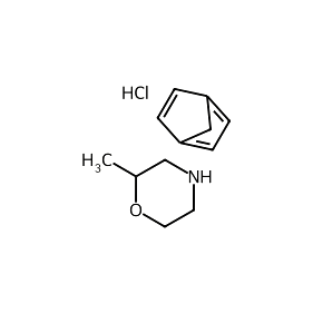 C1=CC2=CC=C1C2.CC1CNCCO1.Cl